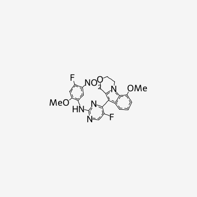 COc1cc(F)c([N+](=O)[O-])cc1Nc1ncc(F)c(-c2c3n(c4c(OC)cccc24)CCOC3)n1